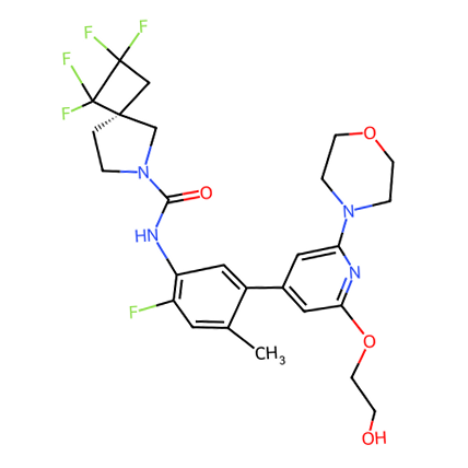 Cc1cc(F)c(NC(=O)N2CC[C@@]3(C2)CC(F)(F)C3(F)F)cc1-c1cc(OCCO)nc(N2CCOCC2)c1